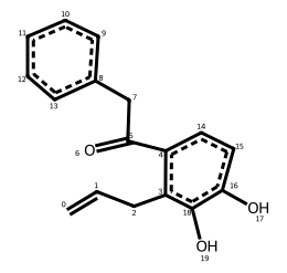 C=CCc1c(C(=O)Cc2ccccc2)ccc(O)c1O